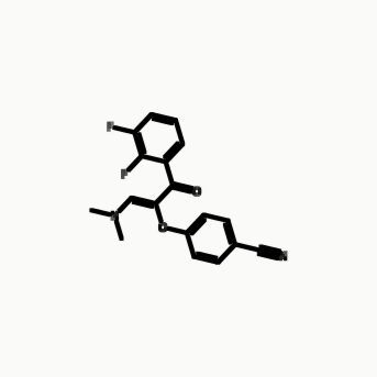 CN(C)/C=C(\Oc1ccc(C#N)cc1)C(=O)c1cccc(F)c1F